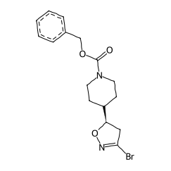 O=C(OCc1ccccc1)N1CCC([C@H]2CC(Br)=NO2)CC1